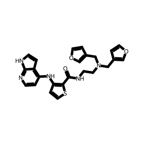 O=C(NCCN(Cc1ccoc1)Cc1ccoc1)c1sccc1Nc1ccnc2[nH]ccc12